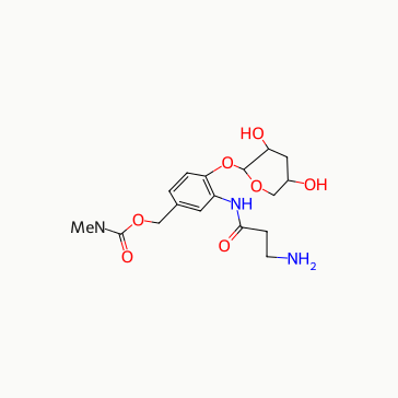 CNC(=O)OCc1ccc(OC2OCC(O)CC2O)c(NC(=O)CCN)c1